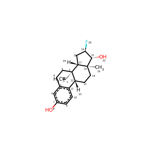 C=C[C@@]12CCc3cc(O)ccc3[C@H]1CC[C@@]1(C)[C@H]2C[C@@H](F)[C@@H]1O